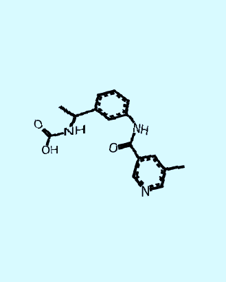 Cc1cncc(C(=O)Nc2cccc(C(C)NC(=O)O)c2)c1